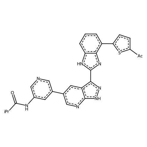 CC(=O)c1ccc(-c2cccc3[nH]c(-c4n[nH]c5ncc(-c6cncc(NC(=O)C(C)C)c6)cc45)nc23)s1